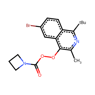 Cc1nc(C(C)(C)C)c2ccc(Br)cc2c1OOC(=O)N1CCC1